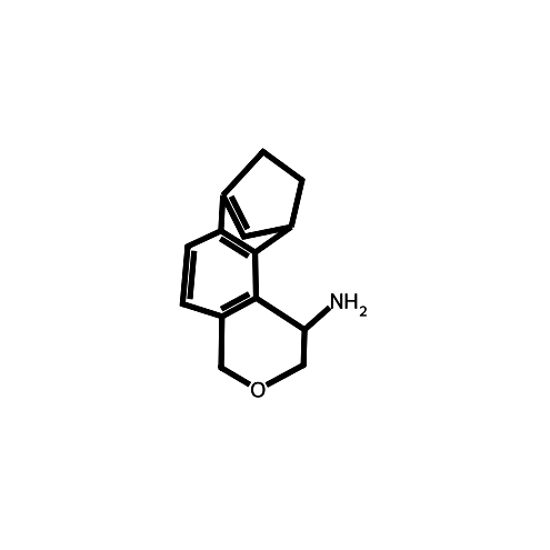 NC1COCc2ccc3c(c21)C1C=C3CC1